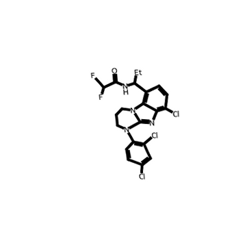 CCC(NC(=O)C(F)F)c1ccc(Cl)c2nc3n(c12)CCCN3c1ccc(Cl)cc1Cl